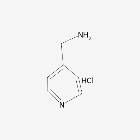 Cl.NCc1ccncc1